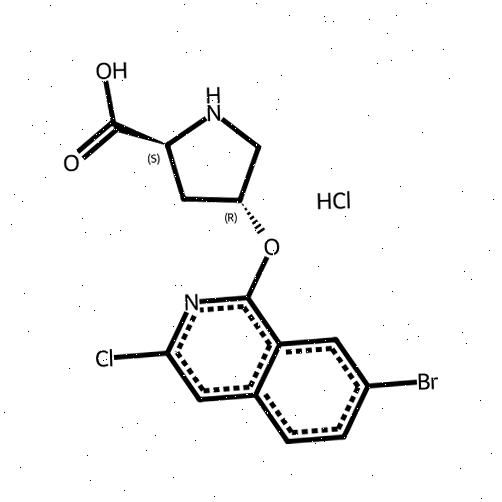 Cl.O=C(O)[C@@H]1C[C@@H](Oc2nc(Cl)cc3ccc(Br)cc23)CN1